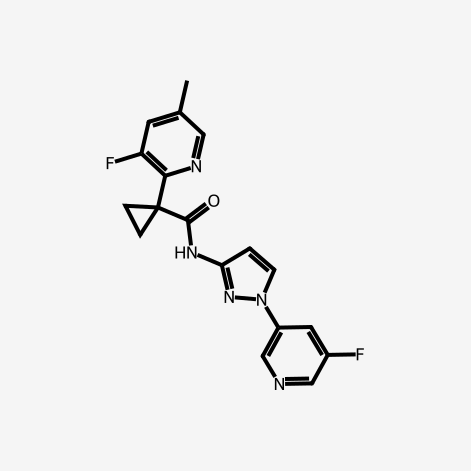 Cc1cnc(C2(C(=O)Nc3ccn(-c4cncc(F)c4)n3)CC2)c(F)c1